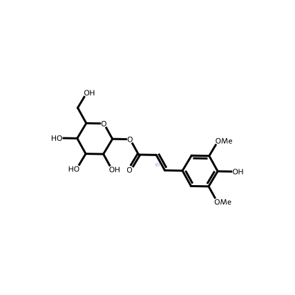 COc1cc(/C=C/C(=O)OC2OC(CO)C(O)C(O)C2O)cc(OC)c1O